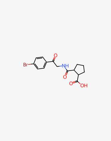 O=C(CNC(=O)C1CCCC1C(=O)O)c1ccc(Br)cc1